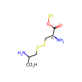 NC(CSSC[C@H](N)C(=O)OS)C(=O)O